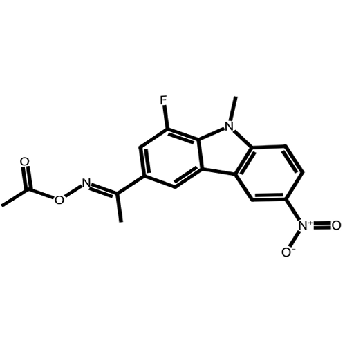 CC(=O)O/N=C(\C)c1cc(F)c2c(c1)c1cc([N+](=O)[O-])ccc1n2C